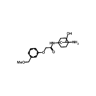 COCc1cccc(OCC(=O)NC23CCC(N)(CC2)C(O)C3)c1